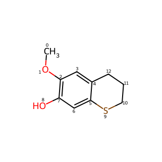 COc1cc2c(cc1O)SCCC2